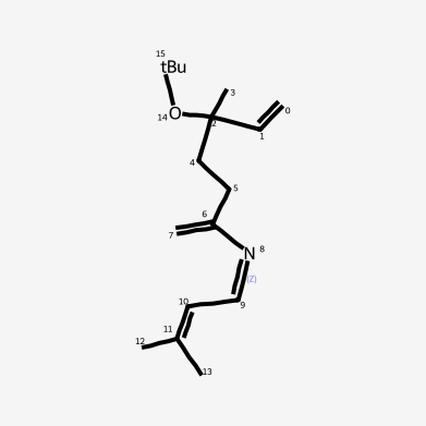 C=CC(C)(CCC(=C)/N=C\C=C(C)C)OC(C)(C)C